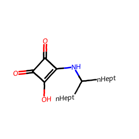 CCCCCCCC(CCCCCCC)Nc1c(O)c(=O)c1=O